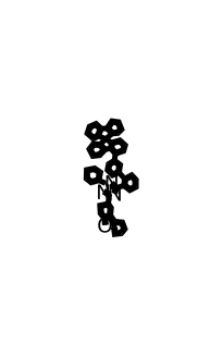 c1ccc(-c2nc(-c3ccc4oc5ccccc5c4c3)nc(-c3ccccc3-c3cccc(-c4cccc5c4-c4ccccc4C54c5ccccc5-c5ccccc54)c3)n2)cc1